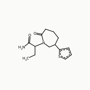 CCC(C(N)=O)N1CC(c2cccs2)CCCC1=O